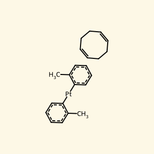 C1=CCCC=CCC1.Cc1cccc[c]1[Pt][c]1ccccc1C